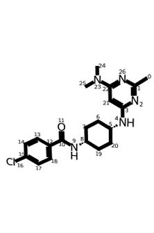 Cc1nc(N[C@H]2CC[C@@H](NC(=O)c3ccc(Cl)cc3)CC2)cc(N(C)C)n1